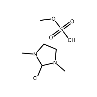 CN1CCN(C)C1Cl.COS(=O)(=O)O